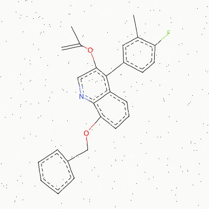 C=C(C)Oc1cnc2c(OCc3ccccc3)cccc2c1-c1ccc(F)c(C)c1